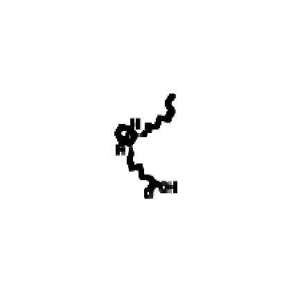 CC/C=C\CCSC[C@@H]1[C@H](C/C=C\CCCC(=O)O)[C@@H]2CC[C@H]1O2